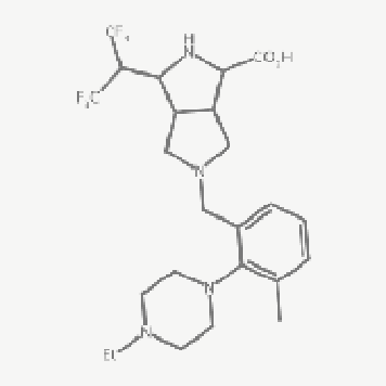 CCN1CCN(c2c(C)cccc2CN2CC3C(C(=O)O)NC(C(C(F)(F)F)C(F)(F)F)C3C2)CC1